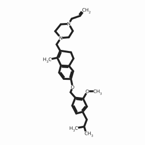 C=CCN1CCN(CC2=C(C)c3ccc(OCc4ccc(CC(C)C)cc4OC)cc3CC2)CC1